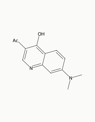 CC(=O)c1cnc2cc(N(C)C)ccc2c1O